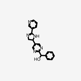 OC(c1ccccc1)c1ncc(C2CN=C(c3cccnc3)N2)cn1